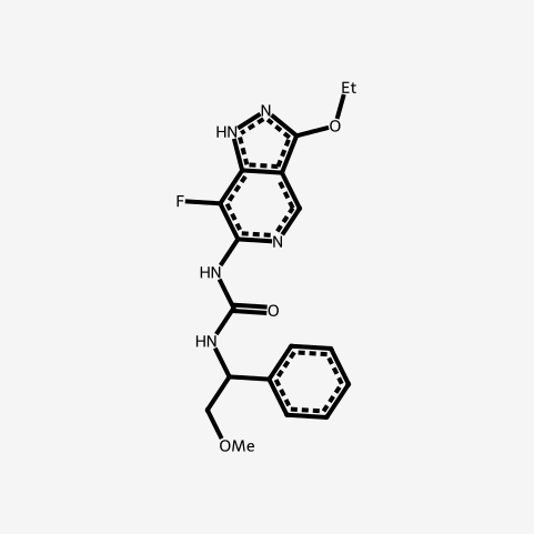 CCOc1n[nH]c2c(F)c(NC(=O)NC(COC)c3ccccc3)ncc12